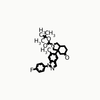 Cc1cc2c(cnn2-c2ccc(F)cc2)cc1C12CC(=O)CCC1CN(C(=O)OC(C)(C)C)C2